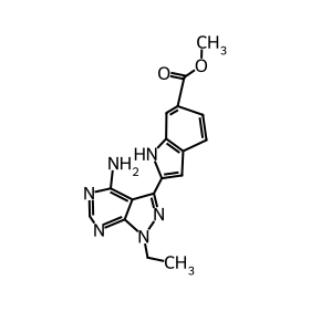 CCn1nc(-c2cc3ccc(C(=O)OC)cc3[nH]2)c2c(N)ncnc21